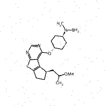 BN(C)[C@H]1CC[C@H](Oc2ncnc3sc4c(c23)[C@@H](CC(C)OC)CC4)CC1